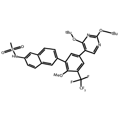 COc1c(-c2ccc3cc(NS(C)(=O)=O)ccc3c2)cc(-c2cnc(OC(C)(C)C)nc2OC(C)(C)C)cc1C(F)(F)C(F)(F)F